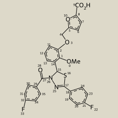 COc1c(OCc2ccc(C(=O)O)o2)cccc1C1SC(c2ccc(F)cc2)=NN1C(=O)c1ccc(F)cc1